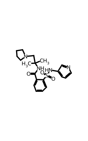 CC(C)(CN1CCCC1)NC(=O)c1ccccc1S(=O)(=O)Nc1cccnc1